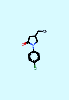 N#CCC1CC(=O)N(c2ccc(Cl)cc2)C1